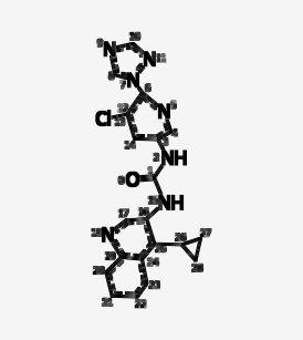 O=C(Nc1cnc(-n2cncn2)c(Cl)c1)Nc1cnc2ccccc2c1C1CC1